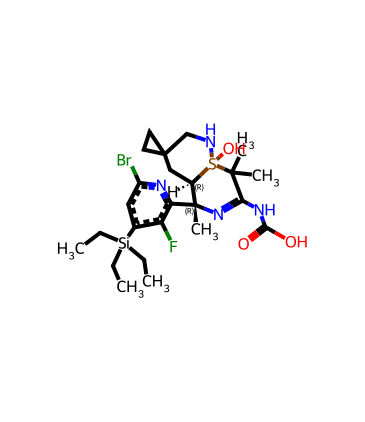 CC[Si](CC)(CC)c1cc(Br)nc([C@@]2(C)N=C(NC(=O)O)C(C)(C)S3(O)NCC4(CC4)C[C@H]23)c1F